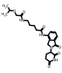 CC(C)OCC(=O)NCCCCC(=O)Nc1cccc2c1CN(C1CCC(=O)NC1=O)C2=O